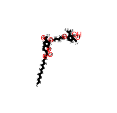 CCCCCCCCCCCCOC(=O)C1CCc2cc(C(C)=O)c(OCCCCCOc3ccc(C(C)=O)c(O)c3C(C)C)cc2O1